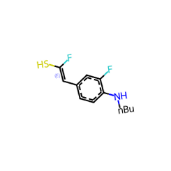 CCCCNc1ccc(/C=C(\F)S)cc1F